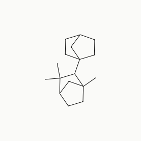 CC12CCC(C1)C(C)(C)C2C12CCC(CC1)C2